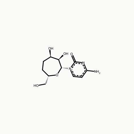 Nc1ccn([C@@H]2O[C@H](CO)CC[C@@H](O)[C@H]2O)c(=O)n1